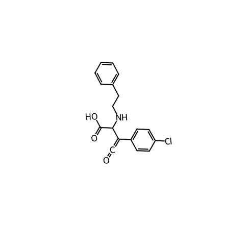 O=C=C(c1ccc(Cl)cc1)C(NCCc1ccccc1)C(=O)O